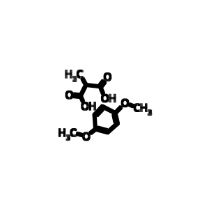 CC(C(=O)O)C(=O)O.COc1ccc(OC)cc1